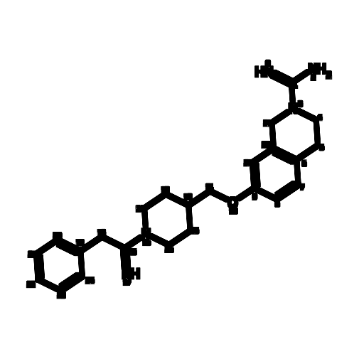 N=C(N)N1CCc2ccc(OCC3CCN(C(=N)Cc4ccccc4)CC3)cc2C1